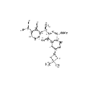 CNC(=O)c1ncc(N2CC(C)(C#N)C2)cc1C(=N)N[C@H](C)c1cccc(C(F)F)c1F